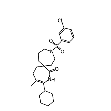 CC1=C(C2CCCCC2)NC(=O)C2(CCCN(S(=O)(=O)c3cccc(Cl)c3)CC2)CC1